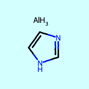 [AlH3].c1c[nH]cn1